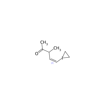 CC(=O)C(C)/C=C\I1CC1